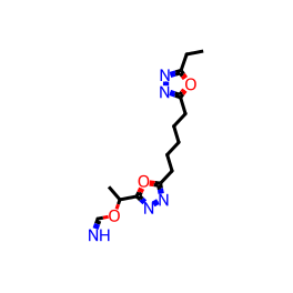 CCc1nnc(CCCCCc2nnc(C(C)OC=N)o2)o1